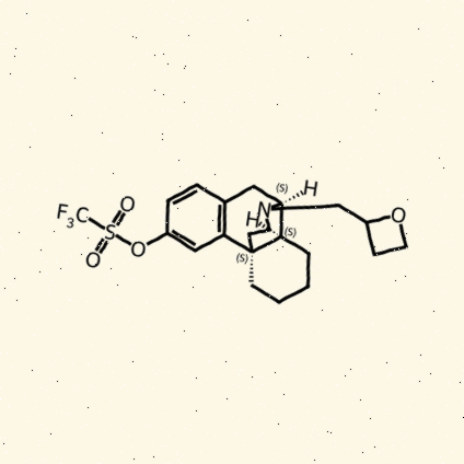 O=S(=O)(Oc1ccc2c(c1)[C@]13CCCC[C@@H]1[C@H](C2)N(CC1CCO1)CC3)C(F)(F)F